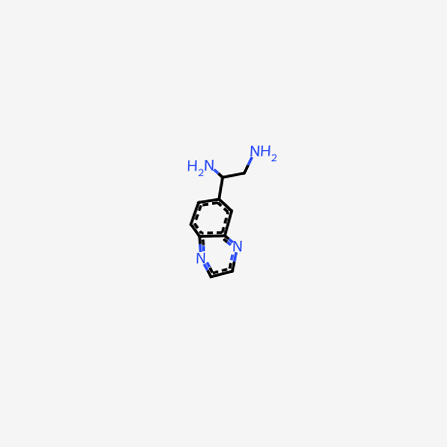 NCC(N)c1ccc2nccnc2c1